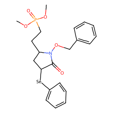 COP(=O)(CCC1CC([Se]c2ccccc2)C(=O)N1OCc1ccccc1)OC